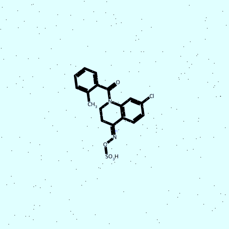 Cc1ccccc1C(=O)N1CC/C(=N\OS(=O)(=O)O)c2ccc(Cl)cc21